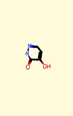 O=C1[N]N=CC=C1O